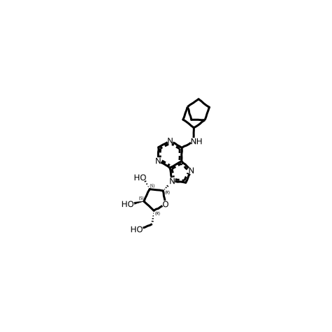 OC[C@H]1O[C@@H](n2cnc3c(NC4CC5CCC4C5)ncnc32)[C@@H](O)[C@@H]1O